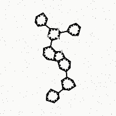 c1ccc(-c2cccc(-c3ccc4sc5c(-c6nc(-c7ccccc7)nc(-c7ccccc7)n6)cccc5c4c3)c2)cc1